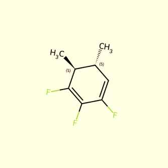 C[C@@H]1C=C(F)C(F)=C(F)[C@H]1C